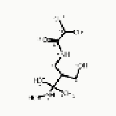 CC(C)(NO)C(CO)CNC(=O)C(Cl)Cl